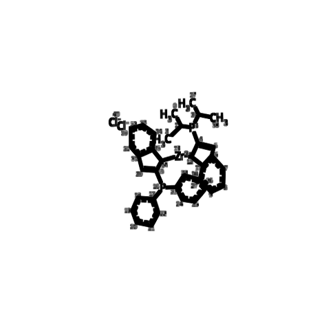 CC(C)P(C1=Cc2ccccc2[CH]1[Zr+2][CH]1C(P(c2ccccc2)c2ccccc2)=Cc2ccccc21)C(C)C.[Cl-].[Cl-]